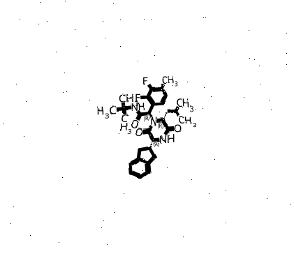 Cc1ccc([C@H](C(=O)NC(C)(C)C)N2C(=O)[C@@H](C3Cc4ccccc4C3)NC(=O)[C@H]2CC(C)C)c(F)c1F